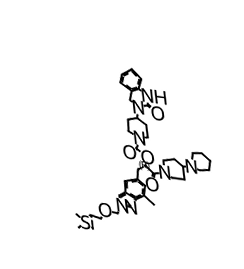 Cc1cc(C[C@@H](OC(=O)N2CCC(N3Cc4ccccc4NC3=O)CC2)C(=O)N2CCC(N3CCCCC3)CC2)cc2cn(COCC[Si](C)(C)C)nc12